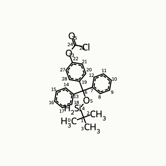 CC(C)(C)[SiH2]OC(c1ccccc1)(c1ccccc1)c1ccc(OC(=O)Cl)cc1